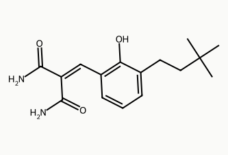 CC(C)(C)CCc1cccc(C=C(C(N)=O)C(N)=O)c1O